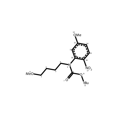 COCCCCN(C(=O)OC(C)(C)C)c1cc(OC)ccc1[N+](=O)[O-]